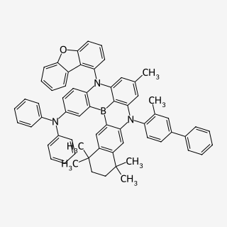 Cc1cc2c3c(c1)N(c1cccc4oc5ccccc5c14)c1ccc(N(c4ccccc4)c4ccccc4)cc1B3c1cc3c(cc1N2c1ccc(-c2ccccc2)cc1C)C(C)(C)CCC3(C)C